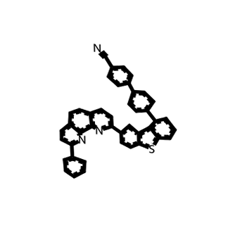 N#Cc1ccc(-c2ccc(-c3cccc4sc5ccc(-c6ccc7ccc8ccc(-c9ccccc9)nc8c7n6)cc5c34)cc2)cc1